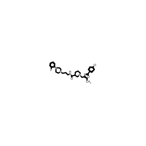 Cc1oc(-c2ccc(Cl)cc2)nc1CN1CCCC(C(=O)NCCCN2CCN(c3ccccc3F)CC2)C1